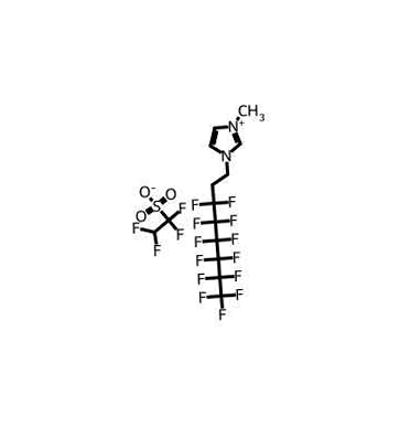 C[n+]1ccn(CCC(F)(F)C(F)(F)C(F)(F)C(F)(F)C(F)(F)C(F)(F)F)c1.O=S(=O)([O-])C(F)(F)C(F)F